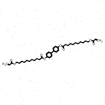 C=CC(=O)OCCCCCCCCCCC(=O)Oc1ccc(-c2ccc(OC(=O)CCCCCCCCCCOC(=O)C=C)cc2)cc1